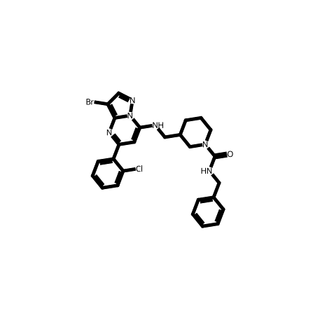 O=C(NCc1ccccc1)N1CCCC(CNc2cc(-c3ccccc3Cl)nc3c(Br)cnn23)C1